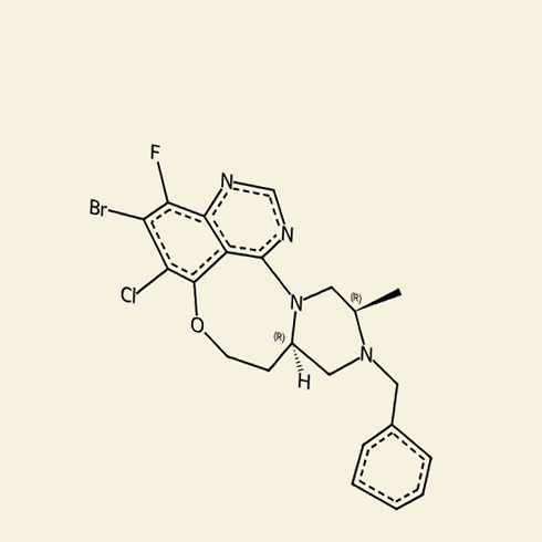 C[C@@H]1CN2c3ncnc4c(F)c(Br)c(Cl)c(c34)OCC[C@@H]2CN1Cc1ccccc1